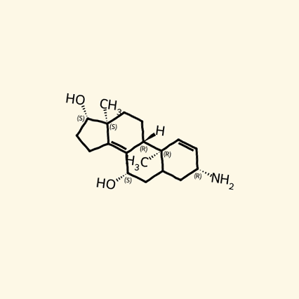 C[C@]12CC[C@H]3C(=C1CC[C@@H]2O)[C@@H](O)CC1C[C@@H](N)C=C[C@@]13C